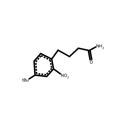 CC(C)(C)c1ccc(CCCC(N)=O)c([N+](=O)[O-])c1